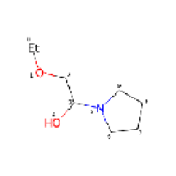 CCOCC(O)N1CCCC1